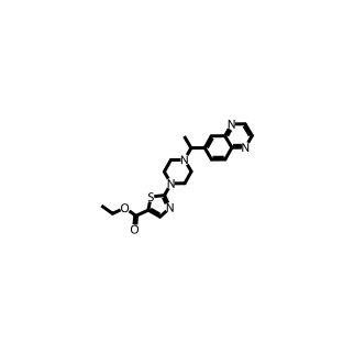 CCOC(=O)c1cnc(N2CCN(C(C)c3ccc4nccnc4c3)CC2)s1